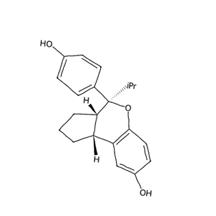 CC(C)[C@]1(c2ccc(O)cc2)Oc2ccc(O)cc2[C@@H]2CCC[C@@H]21